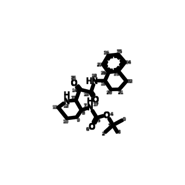 CC(C)(C)OC(=O)NC1CCCNC1C(=O)C(=O)NC1CCCc2ccccc21